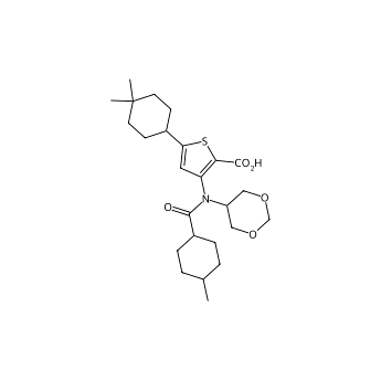 CC1CCC(C(=O)N(c2cc(C3CCC(C)(C)CC3)sc2C(=O)O)C2COCOC2)CC1